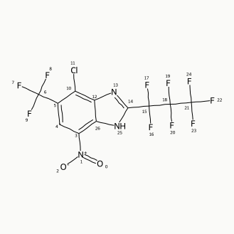 O=[N+]([O-])c1cc(C(F)(F)F)c(Cl)c2nc(C(F)(F)C(F)(F)C(F)(F)F)[nH]c12